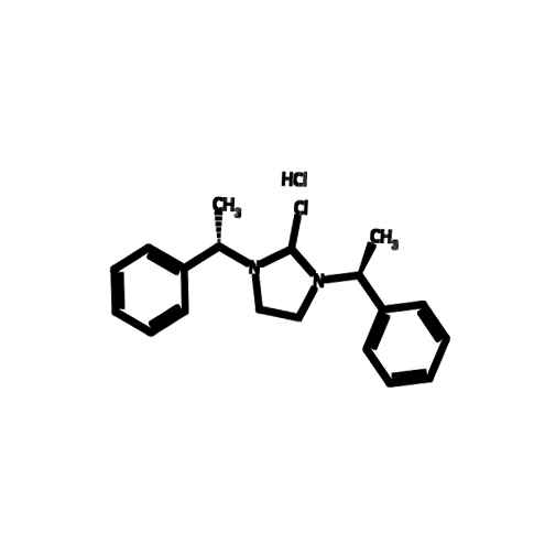 C[C@@H](c1ccccc1)N1CCN([C@@H](C)c2ccccc2)C1Cl.Cl